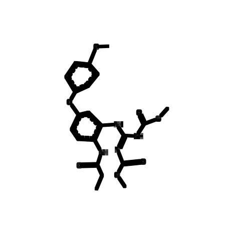 CCC(=O)Nc1ccc(Oc2ccc(OC)cc2)cc1NC(=NC(=O)OC)NC(=O)OC